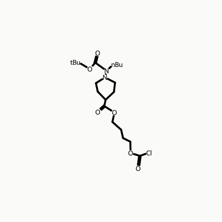 CCCCN(C(=O)OC(C)(C)C)N1CCC(C(=O)OCCCCOC(=O)Cl)CC1